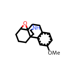 COc1ccc2c(c1)C13CCCC4OC41C(C2)NCC3